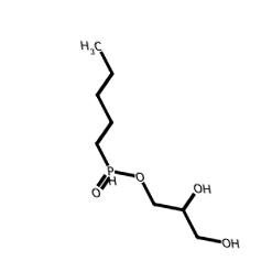 CCCCC[PH](=O)OCC(O)CO